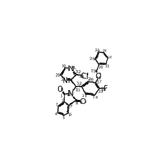 O=C1c2ccccc2C(=O)N1C(c1ccc(F)c(OCc2ccccc2)c1)c1nccnc1Cl